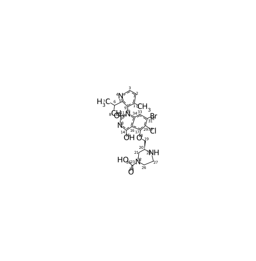 Cc1ccnc(C(C)C)c1-n1c(=O)nc(O)c2c(OC[C@@H]3CN(C(=O)O)CCN3)c(Cl)c(Br)cc21